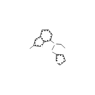 CCN(Sc1cccs1)c1cccc2cc(C)[nH]c12